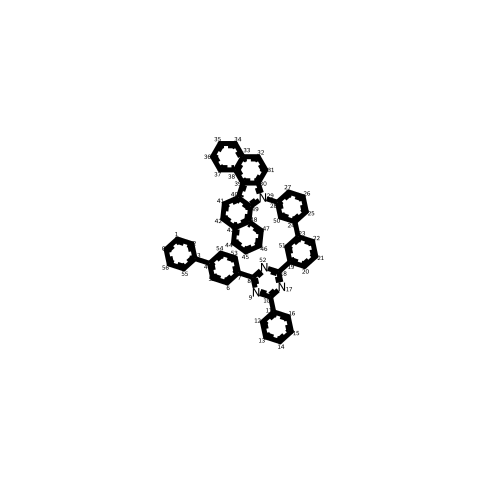 c1ccc(-c2ccc(-c3nc(-c4ccccc4)nc(-c4cccc(-c5cccc(-n6c7ccc8ccccc8c7c7ccc8ccccc8c76)c5)c4)n3)cc2)cc1